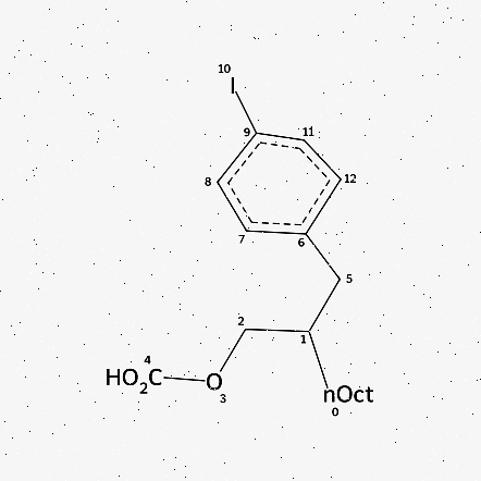 CCCCCCCCC(COC(=O)O)Cc1ccc(I)cc1